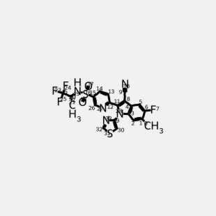 Cc1cc2c(cc1F)c(C#N)c(-c1ccc(S(=O)(=O)N[C@@H](C)C(F)(F)F)cn1)n2-c1cscn1